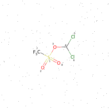 O=S(=O)(OC(Cl)Cl)C(F)(F)F